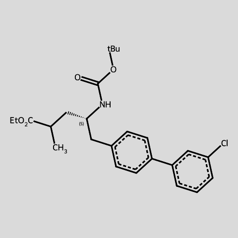 CCOC(=O)C(C)C[C@@H](Cc1ccc(-c2cccc(Cl)c2)cc1)NC(=O)OC(C)(C)C